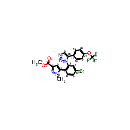 COC(=O)c1cc(-c2ccc(Br)cc2-n2nncc2-c2ccc(OC(F)(F)F)cc2)n(C)n1